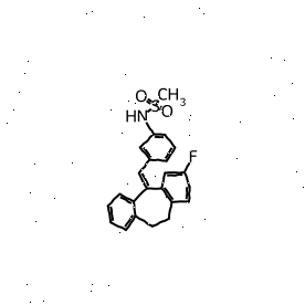 CS(=O)(=O)Nc1cccc(C=C2c3ccccc3CCc3ccc(F)cc32)c1